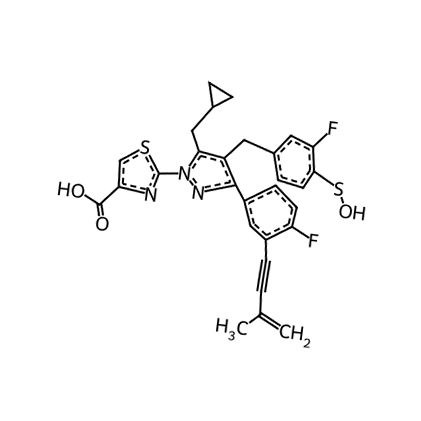 C=C(C)C#Cc1cc(-c2nn(-c3nc(C(=O)O)cs3)c(CC3CC3)c2Cc2ccc(SO)c(F)c2)ccc1F